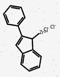 [Cl-].[Cl-].[Zr+2][CH]1C(c2ccccc2)=Cc2ccccc21